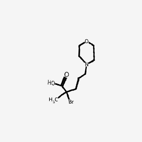 CC(Br)(CCCN1CCOCC1)C(=O)O